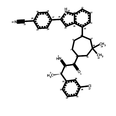 C[C@H](C(=N)C(=O)C1CCC(c2cccc3[nH]c(-c4ccc(C#N)cc4)cc23)CC(C)(C)C1)c1cccc(Cl)c1